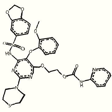 COc1ccccc1Oc1c(NS(=O)(=O)c2ccc3c(c2)OCO3)nc(N2CCSCC2)nc1OCCOC(=O)Nc1ccccn1